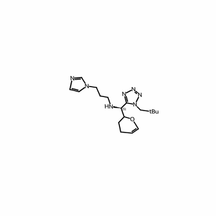 CC(C)(C)Cn1nnnc1[C@H](NCCCn1ccnc1)C1CCC=CO1